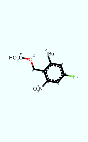 CC(C)(C)c1cc(F)cc([N+](=O)[O-])c1COC(=O)O